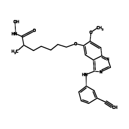 C#Cc1cccc(Nc2ncnc3cc(OC)c(OCCCCCC(C)C(=O)NO)cc23)c1